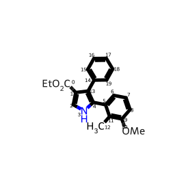 CCOC(=O)c1c[nH]c(-c2cccc(OC)c2C)c1-c1ccccc1